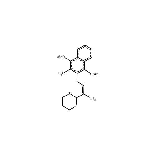 COc1c(C)c(C/C=C(/C)C2SCCCS2)c(OC)c2ccccc12